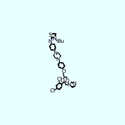 CCC(C)n1ccs/c1=N/c1ccc(N2CCN(c3ccc(OCC4COC(Cn5ccnc5)(c5ccc(Cl)cc5Cl)O4)cc3)CC2)cc1